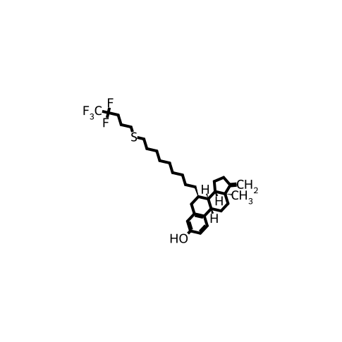 C=C1CC[C@H]2[C@@H]3[C@H](CCCCCCCCCSCCCC(F)(F)C(F)(F)F)Cc4cc(O)ccc4[C@H]3CC[C@]12C